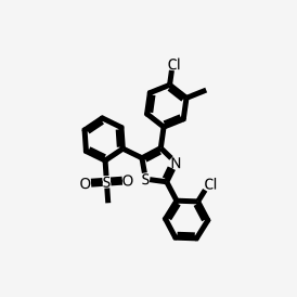 Cc1cc(-c2nc(-c3ccccc3Cl)sc2-c2ccccc2S(C)(=O)=O)ccc1Cl